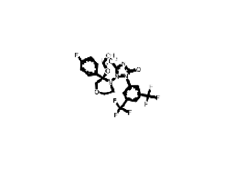 CCOC1(c2ccc(F)cc2)COCCN1n1c(C)nc(=O)n1-c1cc(C(F)(F)F)cc(C(F)(F)F)c1